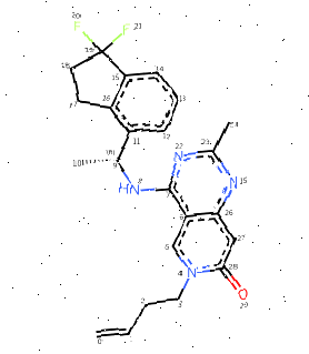 C=CCCn1cc2c(N[C@H](C)c3cccc4c3CCC4(F)F)nc(C)nc2cc1=O